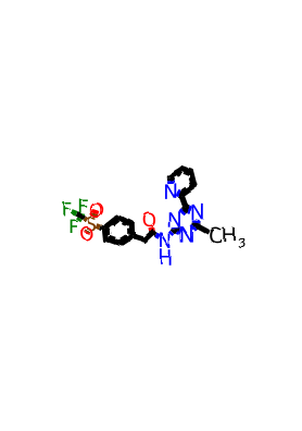 Cc1nc(NC(=O)Cc2ccc(S(=O)(=O)C(F)(F)F)cc2)nc(-c2ccccn2)n1